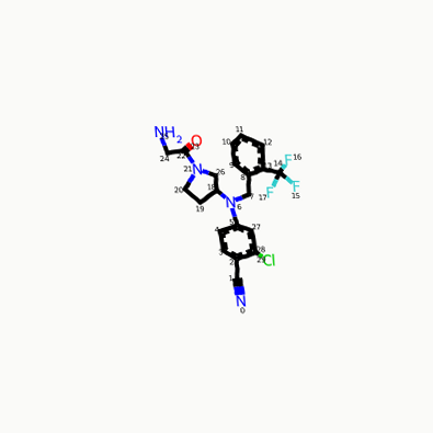 N#Cc1ccc(N(Cc2ccccc2C(F)(F)F)C2CCN(C(=O)CN)C2)cc1Cl